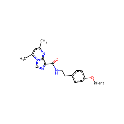 CCCCCOc1ccc(CCNC(=O)c2ncn3c(C)cc(C)nc23)cc1